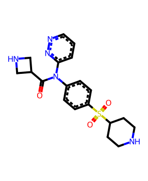 O=C(C1CNC1)N(c1ccc(S(=O)(=O)C2CCNCC2)cc1)c1cccnn1